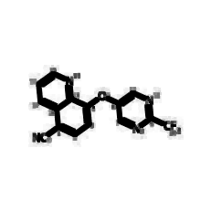 N#Cc1ccc(Oc2cnc(C(F)(F)F)nc2)c2ncccc12